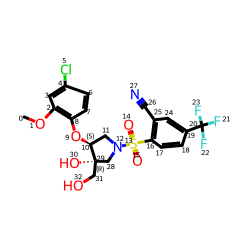 COc1cc(Cl)ccc1O[C@H]1CN(S(=O)(=O)c2ccc(C(F)(F)F)cc2C#N)C[C@@]1(O)CO